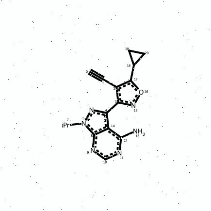 C#Cc1c(-c2nn(C(C)C)c3ncnc(N)c23)noc1C1CC1